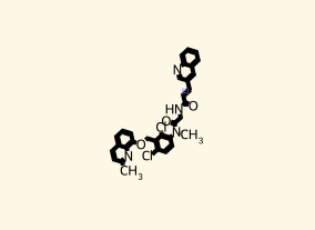 Cc1ccc2cccc(OCc3c(Cl)ccc(N(C)C(=O)CNC(=O)/C=C/c4cnc5ccccc5c4)c3Cl)c2n1